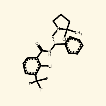 CC1(C)CCCN1C[C@@H](NC(=O)c1cccc(C(F)(F)F)c1Cl)c1ccccc1